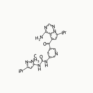 CC(C)c1cc(NC(=O)Nc2cncc(C(=O)c3cc(C(C)C)n4ncnc(N)c34)c2)n(C)n1